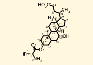 CC(C)[C@H](N)C(=O)O[C@H]1CC[C@@]2(C)C(C1)C[C@H](O)[C@H]1[C@@H]3CC[C@H]([C@H](C)CCC(=O)O)[C@@]3(C)CC[C@@H]12